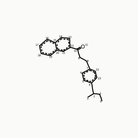 CCC(C)c1ccc(CCC(=O)c2ccc3ccccc3c2)cc1